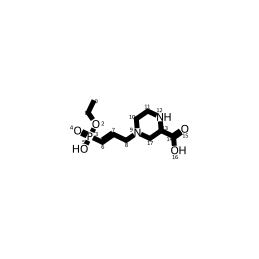 CCOP(=O)(O)C=CCN1CCNC(C(=O)O)C1